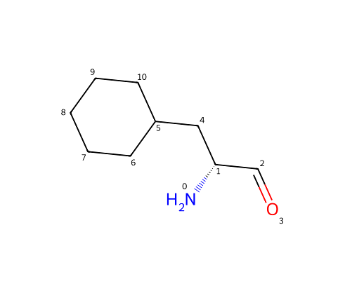 N[C@@H](C=O)CC1CCCCC1